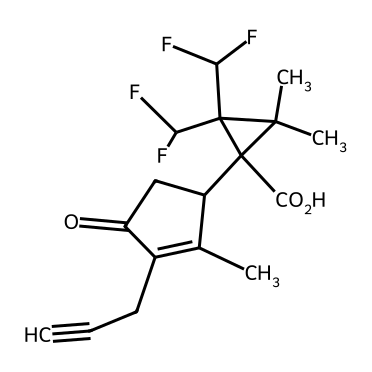 C#CCC1=C(C)C(C2(C(=O)O)C(C)(C)C2(C(F)F)C(F)F)CC1=O